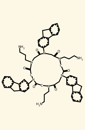 NCCCN1CC(=O)N(c2ccc3c(c2)-c2ccccc2C3)CC(=O)N(CCCN)CC(=O)N(c2ccc3c(c2)-c2ccccc2C3)CC(=O)N(CCCN)CC(=O)N(c2ccc3c(c2)-c2ccccc2C3)CC1=O